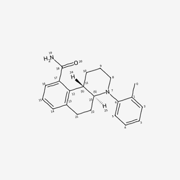 Cc1ccccc1N1CCC[C@H]2c3c(cccc3C(N)=O)CC[C@@H]21